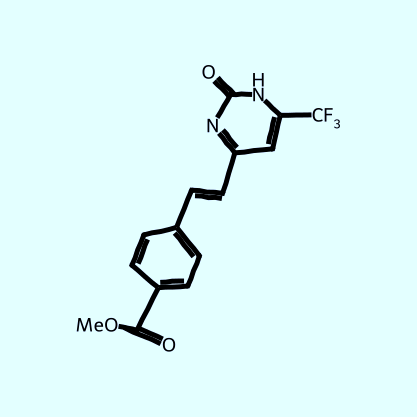 COC(=O)c1ccc(C=Cc2cc(C(F)(F)F)[nH]c(=O)n2)cc1